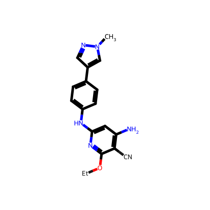 CCOc1nc(Nc2ccc(-c3cnn(C)c3)cc2)cc(N)c1C#N